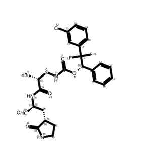 CCCC[C@H](SNC(=O)O[C@@H](c1ccccc1)C(F)(F)c1cccc(Cl)c1)C(=O)N[C@H](C=O)C[C@@H]1CCNC1=O